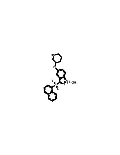 Cl.Cl.O=S(=O)(c1cccc2ccccc12)c1n[nH]c2ccc(NC3CCCNC3)cc12